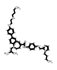 CCCCOCCOc1ccc(-c2ccc3c(c2)C=C(C(=O)Nc2ccc(SCc4nccn4CCCC)cc2)CCN3CC(C)C)cc1